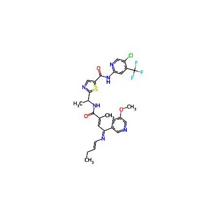 CC/C=C/N=C(\C=C(/C)C(=O)NC(C)c1ncc(C(=O)Nc2cc(C(F)(F)F)c(Cl)cn2)s1)c1cncc(OC)c1